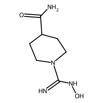 N=C(NO)N1CCC(C(N)=O)CC1